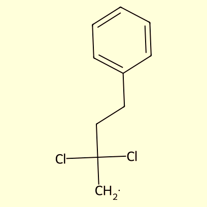 [CH2]C(Cl)(Cl)CCc1ccccc1